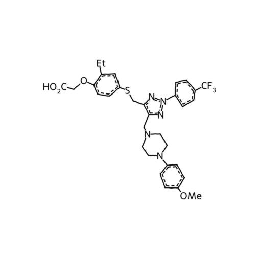 CCc1cc(SCc2nn(-c3ccc(C(F)(F)F)cc3)nc2CN2CCN(c3ccc(OC)cc3)CC2)ccc1OCC(=O)O